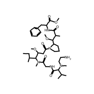 CCC(C)C(C(CC(=O)N1CCCC1C(OC)C(C)C(=O)NC(Cc1ccccc1)C(=O)OC)OC)N(C)C(=O)CNC(=O)C(C(C)C)N(C)CCN